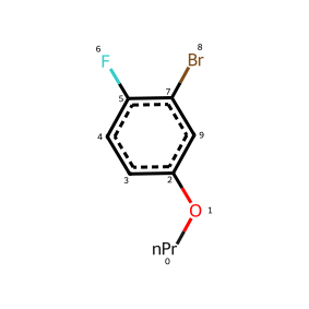 CCCOc1ccc(F)c(Br)c1